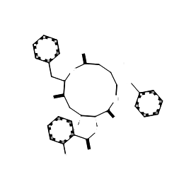 C[C@H]1CC(=O)C(Cc2ccccc2)NC(=O)[C@H](C)[C@H](O)[C@H](Cc2ccccc2)NC(=O)[C@H]1NC(=O)c1ccccc1O